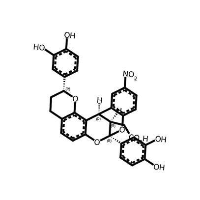 O=C(O)C[C@@H]1[C@@H]2c3cc([N+](=O)[O-])ccc3O[C@@]1(c1ccc(O)c(O)c1)Oc1ccc3c(c12)O[C@@H](c1ccc(O)c(O)c1)CC3